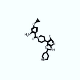 Nc1cc(OC2CC2)ccc1C(=O)N1CCC(c2c(F)cnc3[nH]c(C4CCNCC4)nc23)CC1